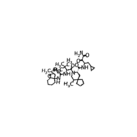 CC1CN(C(=O)[C@@H](NC(=O)NC2(CS(C)(=O)=O)CCCCC2)C(C)(C)C)[C@H](C(=O)NC(CC2CC2)C(=O)C(N)=O)CC12CCCC2